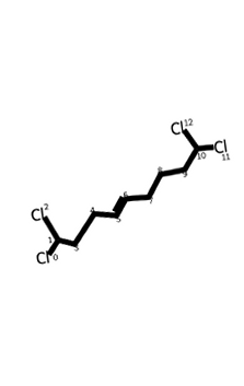 ClC(Cl)CCC=CCCCC(Cl)Cl